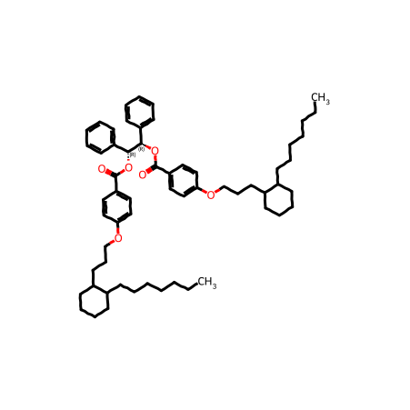 CCCCCCCC1CCCCC1CCCOc1ccc(C(=O)O[C@H](c2ccccc2)[C@H](OC(=O)c2ccc(OCCCC3CCCCC3CCCCCCC)cc2)c2ccccc2)cc1